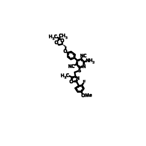 [C-]#[N+]c1c(N)nc(SCc2nc(-c3ccc(OC)cc3F)oc2C)c(C#N)c1-c1ccc(OC[C@@H]2COC(C)(C)O2)cc1